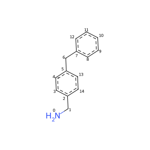 NCc1c[c]c(Cc2ccccc2)cc1